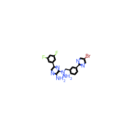 Nc1ncc(-c2cc(F)cc(F)c2)nc1N(N)Cc1cccc(-c2ncc(Br)cn2)c1